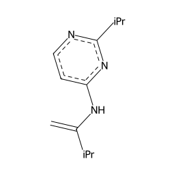 C=C(Nc1ccnc(C(C)C)n1)C(C)C